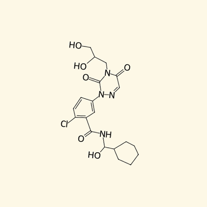 O=C(NC(O)C1CCCCC1)c1cc(-n2ncc(=O)n(CC(O)CO)c2=O)ccc1Cl